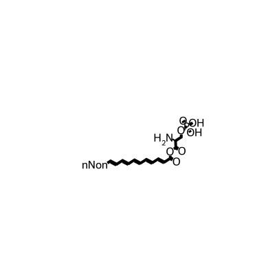 CCCCCCCCCC=CC=CC=CC=CC=CC(=O)OC(=O)[C@@H](N)COP(=O)(O)O